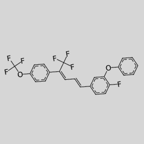 Fc1ccc(C=CC=C(c2ccc(OC(F)(F)F)cc2)C(F)(F)F)cc1Oc1ccccc1